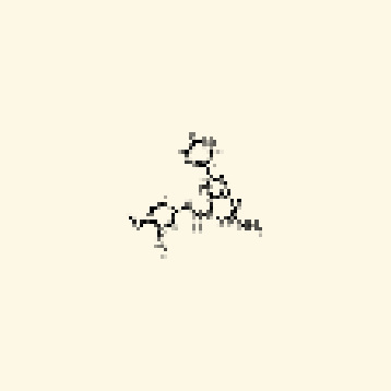 COc1ccc(CN[C@@H](CC(N)=O)c2nc(-c3cnccn3)no2)cc1OC